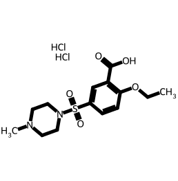 CCOc1ccc(S(=O)(=O)N2CCN(C)CC2)cc1C(=O)O.Cl.Cl